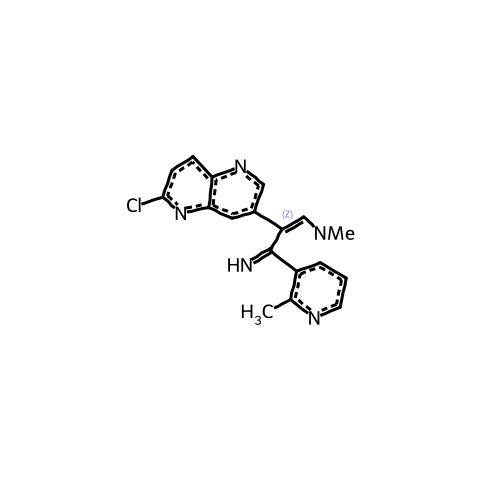 CN/C=C(\C(=N)c1cccnc1C)c1cnc2ccc(Cl)nc2c1